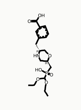 CCOC(OCC)P(=O)(O)C[C@H]1CN[C@H](Cc2cccc(C(=O)O)c2)CO1